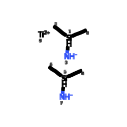 C[SiH](C)[NH-].C[SiH](C)[NH-].[Ti+2]